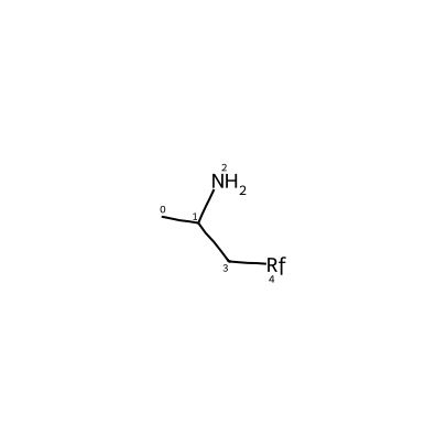 CC(N)[CH2][Rf]